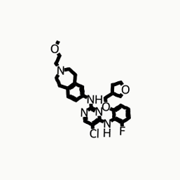 COCCN1CCc2ccc(Nc3ncc(Cl)c(Nc4c(F)cccc4OCC4CCOC4)n3)cc2CC1